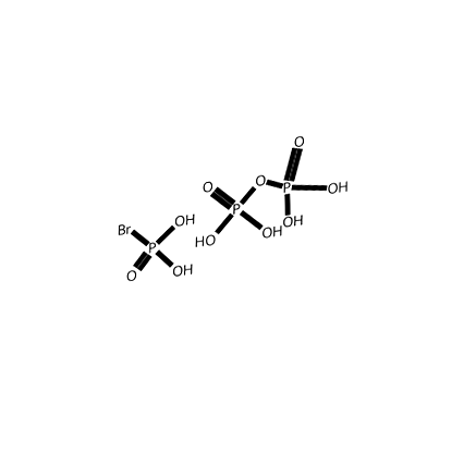 O=P(O)(O)Br.O=P(O)(O)OP(=O)(O)O